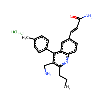 CCCc1nc2ccc(C=CC(N)=O)cc2c(-c2ccc(C)cc2)c1CN.Cl.Cl